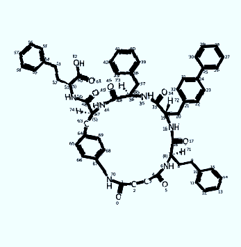 O=C1CCC(=O)N[C@H](CCc2ccccc2)C(=O)N[C@@H](Cc2ccc(-c3ccccc3)cc2)C(=O)N[C@H](Cc2ccccc2)C(=O)N[C@H](C(=O)N[C@@H](CCc2ccccc2)C(=O)O)Cc2ccc(cc2)N1